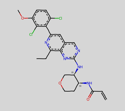 C=CC(=O)N[C@H]1CCOC[C@H]1Nc1ncc2cc(-c3c(Cl)ccc(OC)c3Cl)nc(CC)c2n1